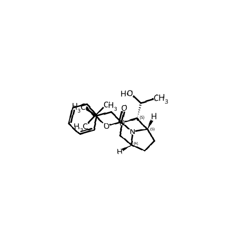 CC(O)[C@@H]1[C@@H]2CC[C@H](CN1Cc1ccccc1)N2C(=O)OC(C)(C)C